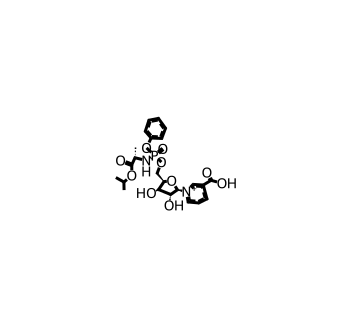 CC(C)OC(=O)[C@H](C)NP(=O)(OC[C@H]1O[C@@H]([n+]2cccc(C(=O)O)c2)[C@H](O)[C@@H]1O)Oc1ccccc1